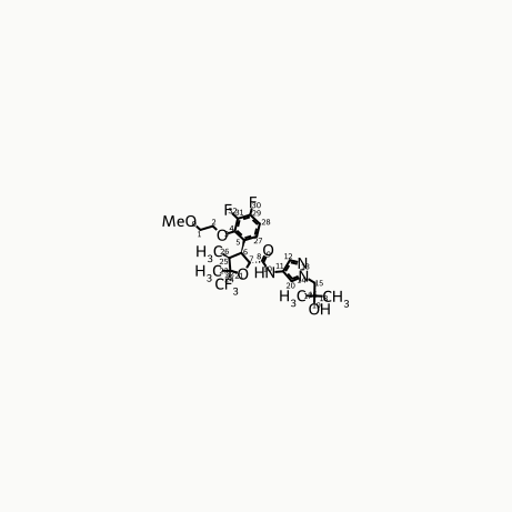 COCCOc1c([C@H]2[C@H](C(=O)Nc3cnn(CC(C)(C)O)c3)O[C@@](C)(C(F)(F)F)[C@H]2C)ccc(F)c1F